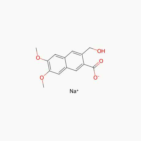 COc1cc2cc(CO)c(C(=O)[O-])cc2cc1OC.[Na+]